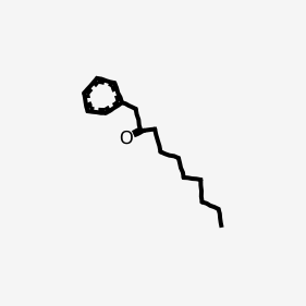 CCCCCCCCC(=O)Cc1ccccc1